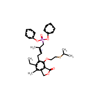 CCc1c(C)c2c(c(OCCSC(C)C)c1C/C=C(\C)CP(=O)(Oc1ccccc1)Oc1ccccc1)C(=O)OC2